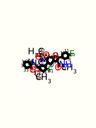 CNC(=O)c1c(-c2ccc(F)cc2)oc2cc(N(C)S(C)(=O)=O)c(-c3cc(-c4nc5ccccc5o4)c(OC)cc3F)cc12